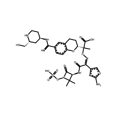 CC(O/N=C(\C(=O)N[C@@H]1C(=O)N(OS(=O)(=O)O)C1(C)C)c1csc(N)n1)(C(=O)O)[C@H]1CCc2cc(C(=N)N[C@@H]3CCN[C@@H](CO)C3)ccc2O1